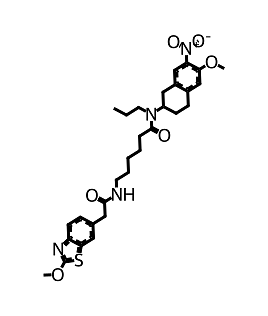 CCCN(C(=O)CCCCCNC(=O)Cc1ccc2nc(OC)sc2c1)C1CCc2cc(OC)c([N+](=O)[O-])cc2C1